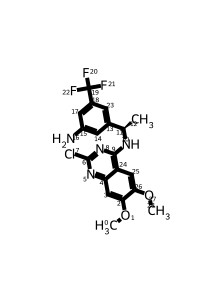 COc1cc2nc(Cl)nc(N[C@H](C)c3cc(N)cc(C(F)(F)F)c3)c2cc1OC